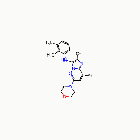 CCc1cc(N2CCOCC2)nn2c(Nc3cccc(C(F)(F)F)c3C)c(C)nc12